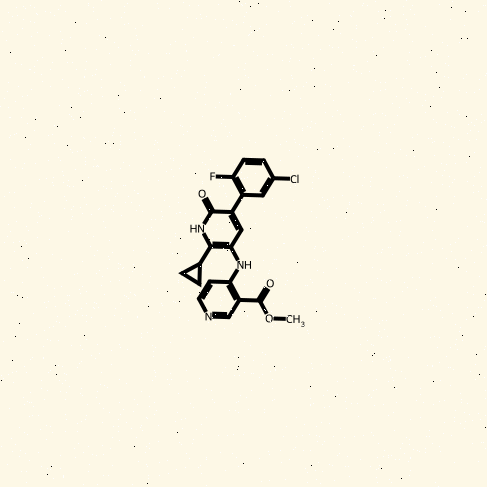 COC(=O)c1cnccc1Nc1cc(-c2cc(Cl)ccc2F)c(=O)[nH]c1C1CC1